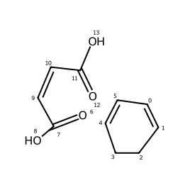 C1=CCCC=C1.O=C(O)/C=C\C(=O)O